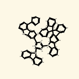 c1ccc(-c2cccc3oc4cc(-c5nc(-n6c7ccccc7c7ccccc76)nc(-n6c7ccccc7c7cc8c(cc76)C6(c7ccccc7-c7ccccc76)c6ccccc6-8)n5)ccc4c23)cc1